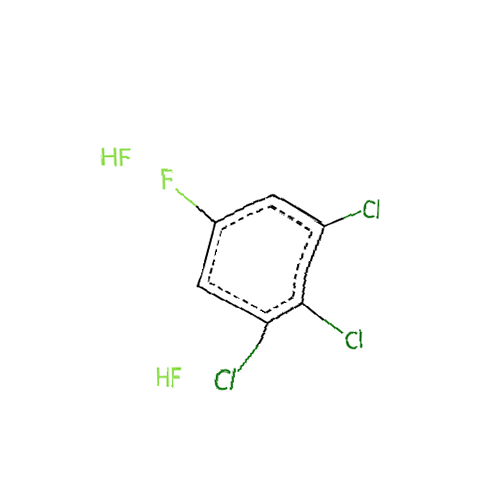 F.F.Fc1cc(Cl)c(Cl)c(Cl)c1